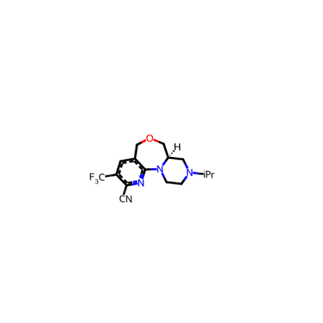 CC(C)N1CCN2c3nc(C#N)c(C(F)(F)F)cc3COC[C@H]2C1